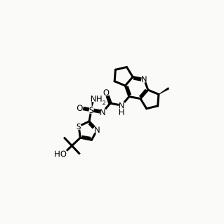 C[C@H]1CCc2c1nc1c(c2NC(=O)N=[S@@](N)(=O)c2ncc(C(C)(C)O)s2)CCC1